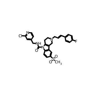 CS(=O)(=O)c1ccc2c(c1)c1c(n2C(=O)NCc2ccnc(Cl)c2)CCN(C/C=C/c2ccc(F)cc2)C1